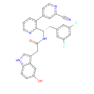 N#Cc1cc(-c2cccnc2[C@H](Cc2cc(F)cc(F)c2)NC(=O)Cc2c[nH]c3ccc(O)cc23)ccn1